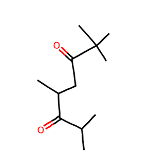 CC(C)C(=O)C(C)CC(=O)C(C)(C)C